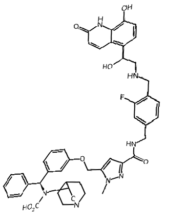 Cn1nc(C(=O)NCc2ccc(CNCC(O)c3ccc(O)c4[nH]c(=O)ccc34)c(F)c2)cc1COc1cccc([C@H](c2ccccc2)N(C(=O)O)C2CN3CCC2CC3)c1